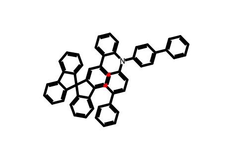 c1ccc(-c2ccc(N(c3ccc(-c4ccccc4)cc3)c3ccccc3-c3ccc4c(c3)C3(c5ccccc5-c5ccccc53)c3ccccc3-4)cc2)cc1